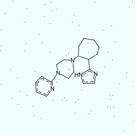 c1ccc(N2CCN(C3CCCCCC3c3ncc[nH]3)CC2)nc1